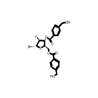 O=C(OC[C@H]1S[C@H](Br)[C@@H](F)[C@@H]1OC(=O)c1ccc(CO)cc1)c1ccc(CO)cc1